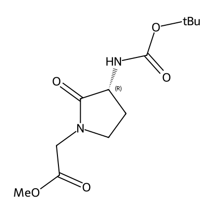 COC(=O)CN1CC[C@@H](NC(=O)OC(C)(C)C)C1=O